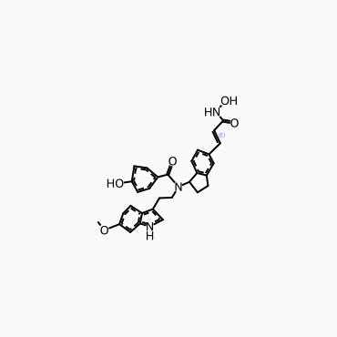 COc1ccc2c(CCN(C(=O)c3ccc(O)cc3)C3CCc4cc(/C=C/C(=O)NO)ccc43)c[nH]c2c1